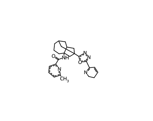 Cc1cccc(C(=O)NC23CCCC4CC2CC(c2nnc(C5=NCCC=C5)o2)(C4)C3)n1